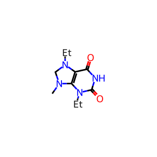 CCN1CN(C)c2c1c(=O)[nH]c(=O)n2CC